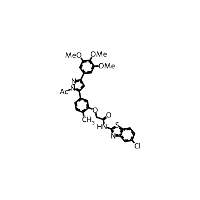 COc1cc(-c2cc(-c3ccc(C)c(OCC(=O)Nc4nc5cc(Cl)ccc5s4)c3)n(C(C)=O)n2)cc(OC)c1OC